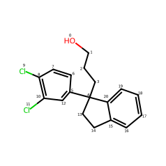 OCCCC1(c2ccc(Cl)c(Cl)c2)CCc2ccccc21